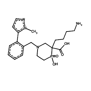 Cn1nccc1-c1ccccc1CN1CCP(=O)(O)C(CCCCN)(C(=O)O)C1